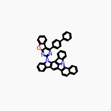 c1ccc(-c2ccc(-c3nc(-n4c5ccccc5c5cc6c7ccc8ccccc8c7n7c8ccccc8c(c54)c67)nc4oc5ccccc5c34)cc2)cc1